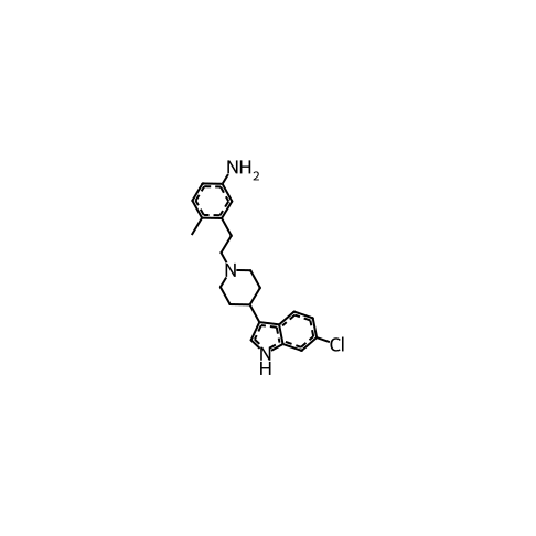 Cc1ccc(N)cc1CCN1CCC(c2c[nH]c3cc(Cl)ccc23)CC1